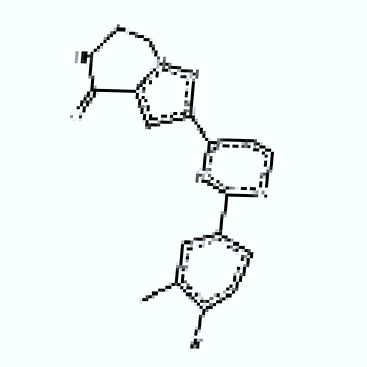 Cc1cc(-c2nccc(-c3cc4n(n3)CCNC4=O)n2)ccc1Br